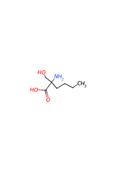 CCCCC(N)(CO)C(=O)O